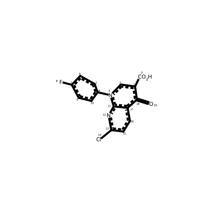 O=C(O)c1cn(-c2ccc(F)cc2)c2nc(Cl)ccc2c1=O